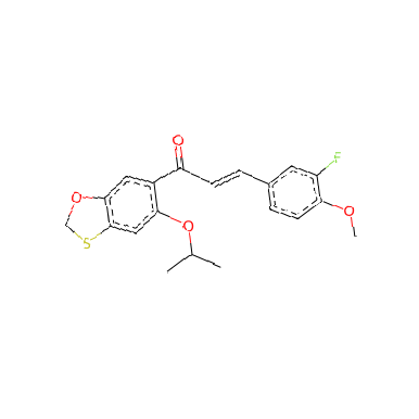 COc1ccc(/C=C/C(=O)c2cc3c(cc2OC(C)C)SCO3)cc1F